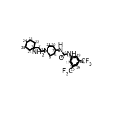 NC1(CCN2CCC(NC(=O)Nc3cc(C(F)(F)F)cc(C(F)(F)F)c3)CC2)CCCCC1